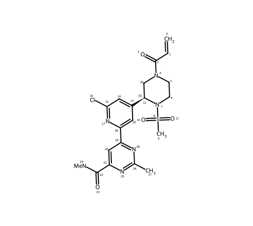 C=CC(=O)N1CCN(S(C)(=O)=O)[C@@H](c2cc(Cl)nc(-c3cc(C(=O)NC)nc(C)n3)c2)C1